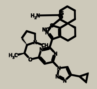 C[C@H](Oc1cc(-n2cc(C3CC3)nn2)nc(-c2noc3c2CCC[C@@]32CCCc3sc(N)c(C#N)c32)n1)[C@@H]1CCCN1C